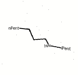 CCCCCCCCNC(C)CCC